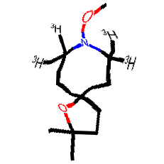 [3H]C1([3H])CC2(CCC(C)(C)O2)CC([3H])([3H])N1OC